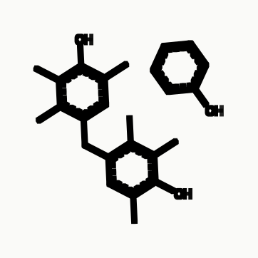 Cc1cc(Cc2cc(C)c(O)c(C)c2C)c(C)c(C)c1O.Oc1ccccc1